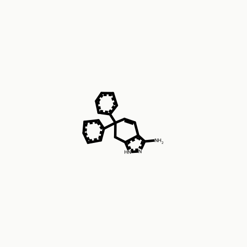 Nc1n[nH]c2c1C=CC(c1ccccc1)(c1ccccc1)C2